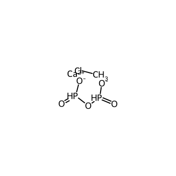 CCl.O=[PH]([O-])O[PH](=O)[O-].[Ca+2]